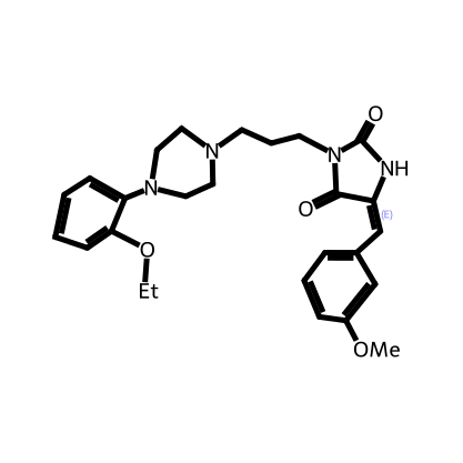 CCOc1ccccc1N1CCN(CCCN2C(=O)N/C(=C/c3cccc(OC)c3)C2=O)CC1